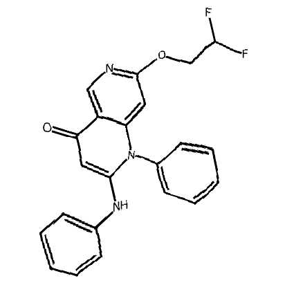 O=c1cc(Nc2ccccc2)n(-c2ccccc2)c2cc(OCC(F)F)ncc12